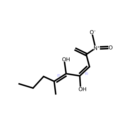 C=C(/C=C(O)\C(O)=C(/C)CCC)[N+](=O)[O-]